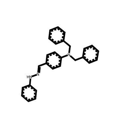 C(=NNc1ccccc1)c1ccc(N(Cc2ccccc2)Cc2ccccc2)cc1